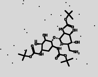 CC(C)(C)OC(=O)NC1C[C@@H](NC(=O)OC(C)(C)C)[C@@H](O)C(O)[C@@H]1O[C@H]1OC(CN)[C@@H](O)[C@H](O)C1NC(=O)OC(C)(C)C